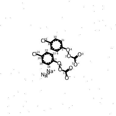 O=C([O-])OOc1ccc(Cl)cc1.O=C([O-])OOc1ccc(Cl)cc1.[Na+].[Na+]